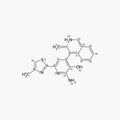 C=C/C(c1cc(-c2nc(C)cs2)nc(N)c1O)=c1/cccc/c1=C/N